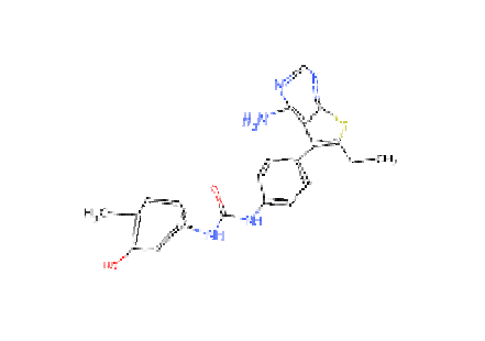 CCc1sc2ncnc(N)c2c1-c1ccc(NC(=O)Nc2ccc(C)c(O)c2)cc1